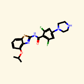 CC(C)Oc1cccc2sc(NC(=O)c3c(F)cc(N4CCNCC4)cc3F)nc12